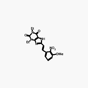 CCn1c(=O)c2[nH]c(C=Cc3cccc(OC)c3[N+](=O)[O-])nc2n(CC)c1=O